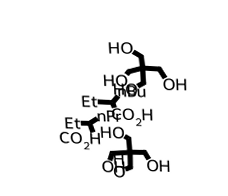 CCCC(CC)C(=O)O.CCCCC(CC)C(=O)O.OCC(CO)(CO)CO.OCC(CO)(CO)CO